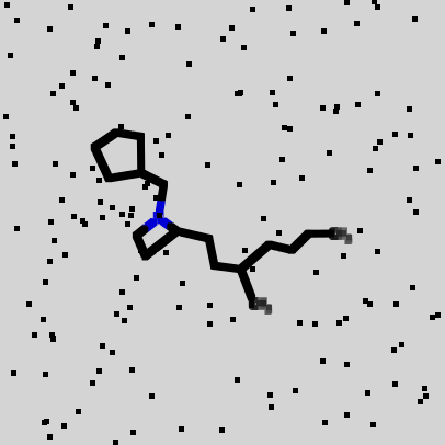 CCCCC(C)CCC1CCN1CC1CCCC1